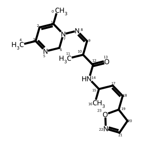 CC1=CC(C)=NCN1/N=C\C(C)C(=O)NC(C)/C=C\C1CC=NO1